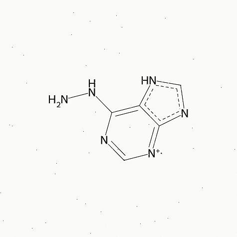 NNC1=c2[nH]cnc2=[N+]C=N1